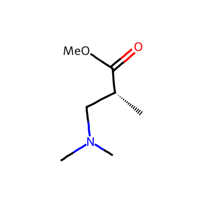 COC(=O)[C@H](C)CN(C)C